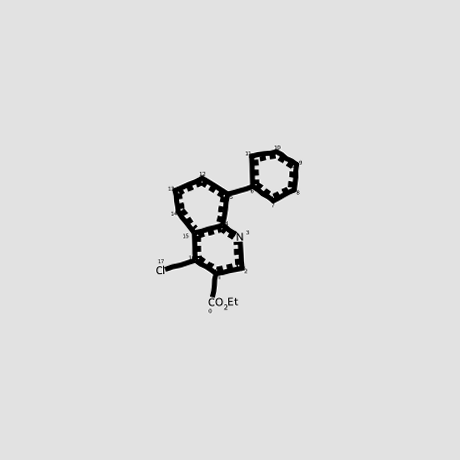 CCOC(=O)c1cnc2c(-c3ccccc3)cccc2c1Cl